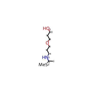 CSC(C)NCCCOCCCO